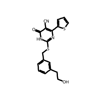 N#Cc1c(-c2cccs2)nc(SCc2cccc(CCO)c2)[nH]c1=O